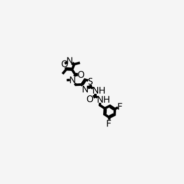 Cc1noc(C)c1C(=O)N(C)Cc1csc(NC(=O)NCc2cc(F)cc(F)c2)n1